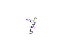 CC(C)Sc1cc(N)cc2cc(C(=O)NCCc3nccs3)cnc12